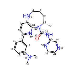 C[C@H]1CCCNc2ccc(-c3cccc(N(C)C)c3)nc2N1C(=O)Nc1cnccn1